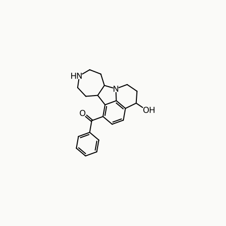 O=C(c1ccccc1)c1ccc2c3c1C1CCNCCC1N3CCC2O